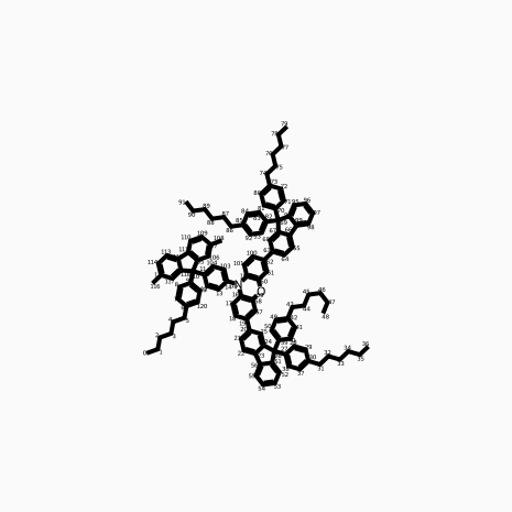 CCCCCCc1ccc(C2(c3ccc(N4c5ccc(-c6ccc7c(c6)C(c6ccc(CCCCCC)cc6)(c6ccc(CCCCCC)cc6)c6ccccc6-7)cc5Oc5cc(-c6ccc7c(c6)C(c6ccc(CCCCCC)cc6)(c6ccc(CCCCCC)cc6)c6ccccc6-7)ccc54)cc3)c3cc(C)ccc3-c3ccc(C)cc32)cc1